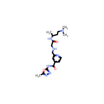 Cc1nnc(NC(=O)c2ccnc(CNCC(=O)NC(C)CCN(C)C)c2)o1